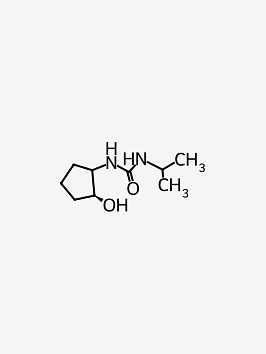 CC(C)NC(=O)NC1CCC[C@@H]1O